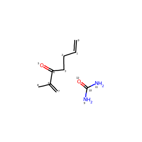 C=CCCC(=O)C(=C)C.NC(N)=O